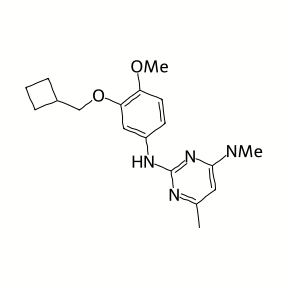 CNc1cc(C)nc(Nc2ccc(OC)c(OCC3CCC3)c2)n1